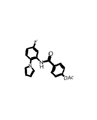 CC(=O)Oc1ccc(C(=O)Nc2cc(F)ccc2-n2cccc2)cc1